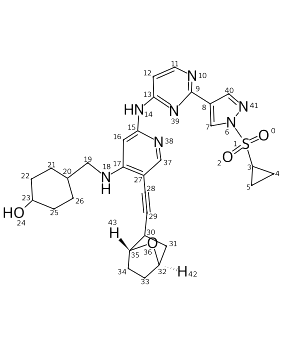 O=S(=O)(C1CC1)n1cc(-c2nccc(Nc3cc(NCC4CCC(O)CC4)c(C#CC4C[C@H]5CC[C@H]4O5)cn3)n2)cn1